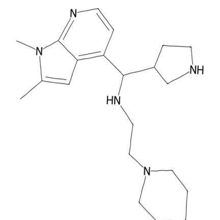 Cc1cc2c(C(NCCN3CCCCC3)C3CCNC3)ccnc2n1C